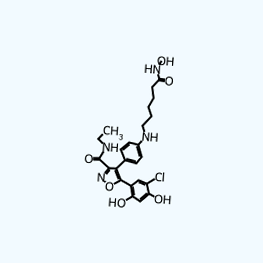 CCNC(=O)c1noc(-c2cc(Cl)c(O)cc2O)c1-c1ccc(NCCCCCC(=O)NO)cc1